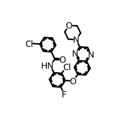 O=C(Nc1ccc(F)c(Oc2ccc3ncc(N4CCOCC4)nc3c2)c1Cl)c1cccc(Cl)c1